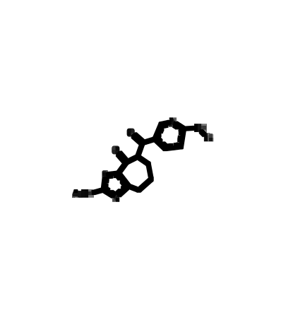 CCNc1ccc(C(=O)C2CCCc3nc(NC(C)=O)sc3C2=O)cn1